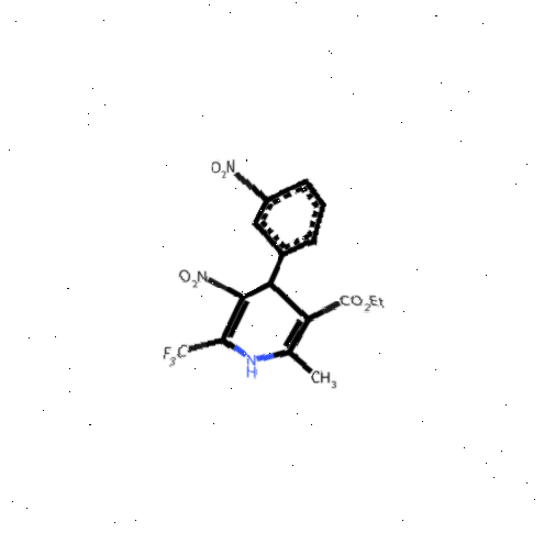 CCOC(=O)C1=C(C)NC(C(F)(F)F)=C([N+](=O)[O-])C1c1cccc([N+](=O)[O-])c1